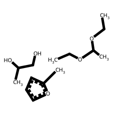 CC(O)CO.CCOC(C)OCC.Cc1ccco1